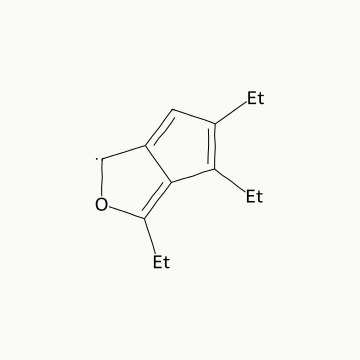 CCC1=C(CC)C2=C(CC)O[CH]C2=C1